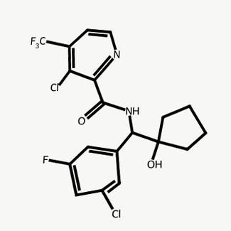 O=C(NC(c1cc(F)cc(Cl)c1)C1(O)CCCC1)c1nccc(C(F)(F)F)c1Cl